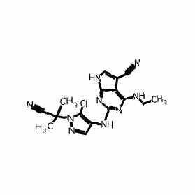 CCNc1nc(Nc2cnn(C(C)(C)C#N)c2Cl)nc2[nH]cc(C#N)c12